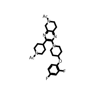 CC(=O)N1CCC(c2nc3c(nc2N2CCC(Oc4ccc(F)cc4F)CC2)CCN(C(C)=O)C3)CC1